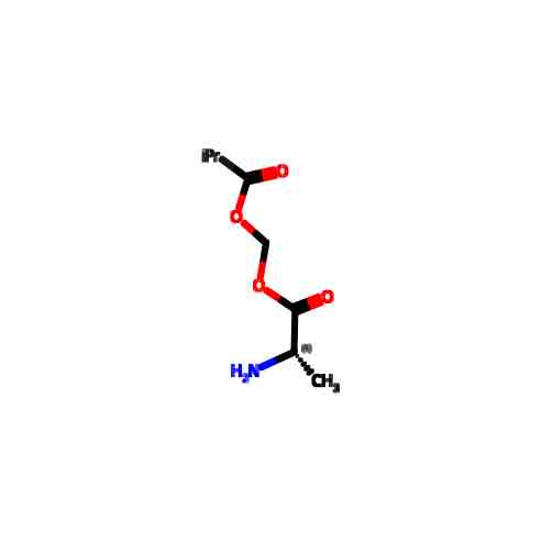 CC(C)C(=O)OCOC(=O)[C@H](C)N